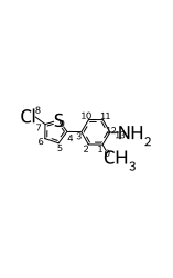 Cc1cc(-c2ccc(Cl)s2)ccc1N